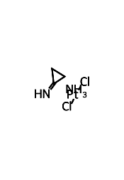 N.N=C1CC1.[Cl][Pt][Cl]